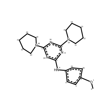 COc1ccc(Nc2nc(N3CCCCC3)nc(N3CCCCC3)n2)cc1